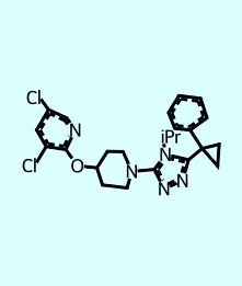 CC(C)n1c(N2CCC(Oc3ncc(Cl)cc3Cl)CC2)nnc1C1(c2ccccc2)CC1